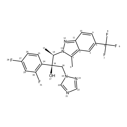 Cc1c2cc(C(F)(F)F)ccc2nn1[C@H](C)[C@](O)(Cn1cncn1)c1ccc(F)cc1F